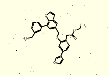 CCOC(=O)Cc1ccc(-c2ccoc2)cc1OCc1cc(-c2cccc(CN)c2)c2occc2c1